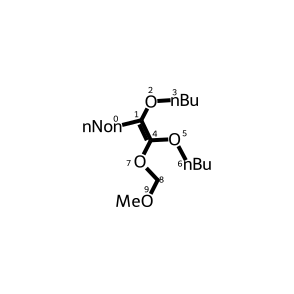 CCCCCCCCCC(OCCCC)=C(OCCCC)OCOC